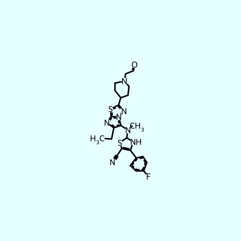 CCc1nc2sc(C3CCN(CC=O)CC3)nn2c1N(C)C1NC(c2ccc(F)cc2)=C(C#N)S1